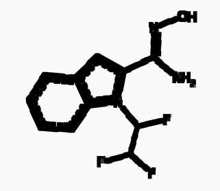 NC(=NO)c1cc2ccccc2n1C(F)C(F)F